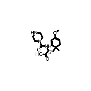 COC1=CCC(C)(C[C@H](NC(=O)N2CCNCC2)C(=O)O)C=C1